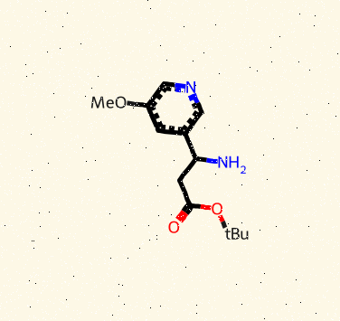 COc1cncc(C(N)CC(=O)OC(C)(C)C)c1